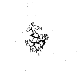 C[C@]1(F)CN(C(=O)C2(C#N)CC2)C[C@H]1Nc1c(C(N)=O)cnn2cc(Br)cc12